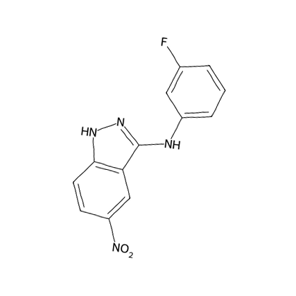 O=[N+]([O-])c1ccc2[nH]nc(Nc3cccc(F)c3)c2c1